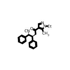 CCn1ncc(C(=O)C[C@@H](c2ccccc2)[C@@H](C#N)c2ccccc2)c1C